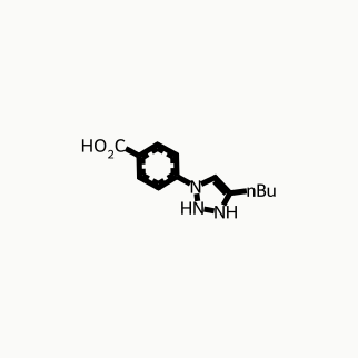 CCCCC1=CN(c2ccc(C(=O)O)cc2)NN1